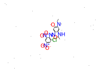 CCN(C)c1cc(NC(C)=O)c(N=Nc2c(Cl)cc([N+](=O)[O-])cc2[N+](=O)[O-])cc1OC